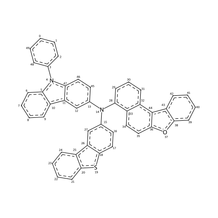 c1ccc(-n2c3ccccc3c3cc(N(c4ccc5sc6ccccc6c5c4)c4cccc5c4ccc4oc6ccccc6c45)ccc32)cc1